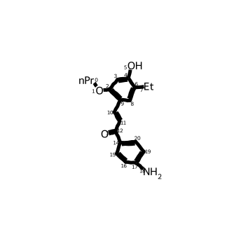 CCCOc1cc(O)c(CC)cc1C=CC(=O)c1ccc(N)cc1